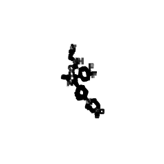 Cc1nc(-c2ccc(N3CCS(=O)(=O)CC3)cc2)c([C@@H]2CCC(F)(F)C[C@H]2C(=O)NCC#N)o1